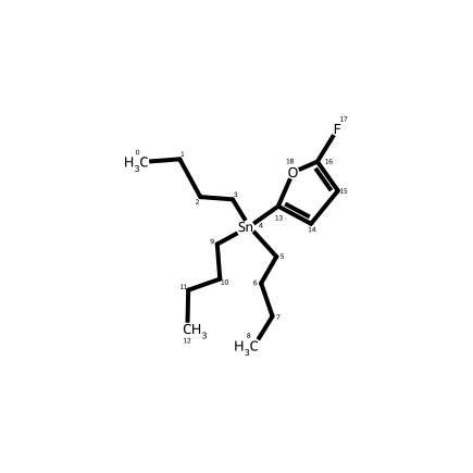 CCC[CH2][Sn]([CH2]CCC)([CH2]CCC)[c]1ccc(F)o1